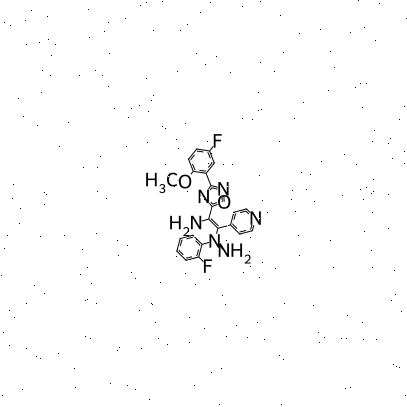 COc1ccc(F)cc1-c1noc(/C(N)=C(\c2ccncc2)N(N)c2ccccc2F)n1